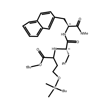 CNC(=O)[C@H](Cc1ccc2ccccc2c1)NC(=O)[C@H](CC(C)C)NC(CCO[Si](C)(C)C(C)(C)C)C(=O)OC(C)(C)C